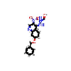 O=CNNc1c([N+](=O)[O-])cnc2cc(OCc3ccccc3)ccc12